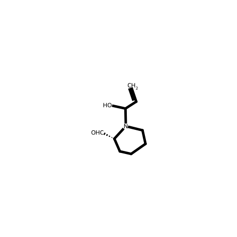 C=CC(O)N1CCCC[C@@H]1C=O